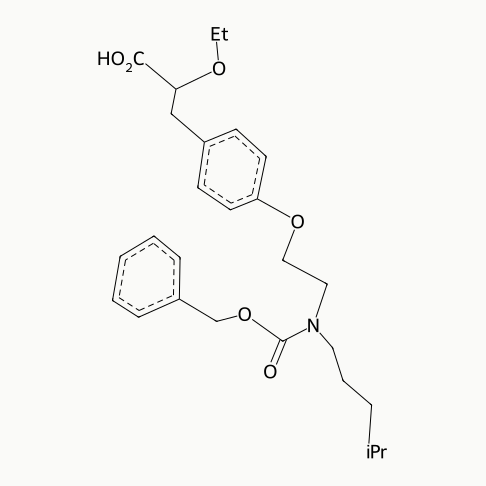 CCOC(Cc1ccc(OCCN(CCCC(C)C)C(=O)OCc2ccccc2)cc1)C(=O)O